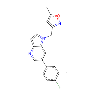 Cc1cc(Cn2ccc3ncc(-c4ccc(F)c(C)c4)cc32)no1